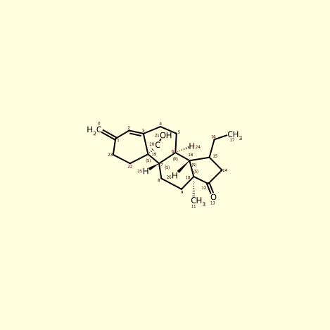 C=C1C=C2CC[C@@H]3[C@H](CC[C@]4(C)C(=O)CC(CC)[C@@H]34)[C@@]2(CO)CC1